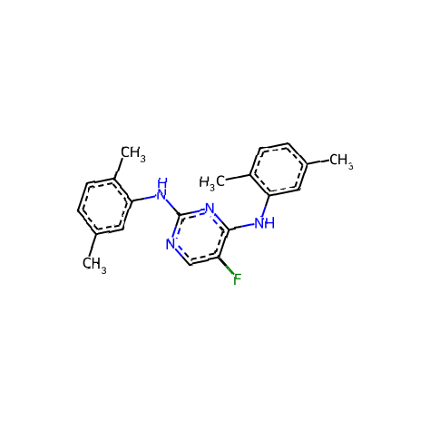 Cc1ccc(C)c(Nc2ncc(F)c(Nc3cc(C)ccc3C)n2)c1